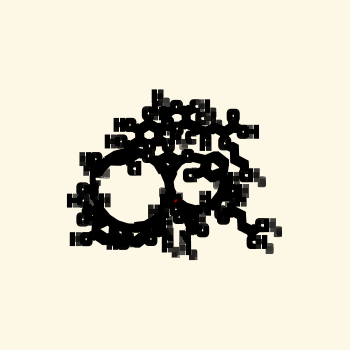 CCCCOC(CNC(C)(C)C(O)C(C)OC(C)OC1C(Oc2c3cc4cc2Oc2ccc(cc2Cl)[C@@H](O)CC(=O)N[C@@H](C(=O)O)c2cc(O)cc(O)c2-c2cc(ccc2O)[C@H](C(N)=O)NC(=O)[C@@H]4NC(=O)[C@H](CC(N)=O)NC(=O)C(NC(=O)CCC(C)C)[C@H](O)c2ccc(c(Cl)c2)O3)OC(CO)C(O)C1O)C(=O)O